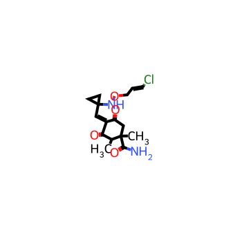 CC1C(=O)C(=CC2(NOCC=CCl)CC2)C(=O)CC1(C)C(N)=O